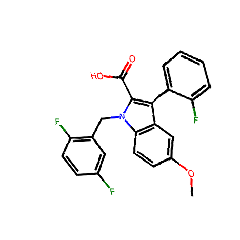 COc1ccc2c(c1)c(-c1ccccc1F)c(C(=O)O)n2Cc1cc(F)ccc1F